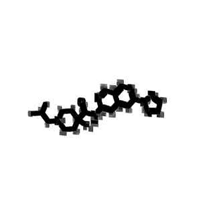 CC(C)CN1CCC(F)(C(=O)Nc2cc3cc(-n4nccn4)ncc3cn2)CC1